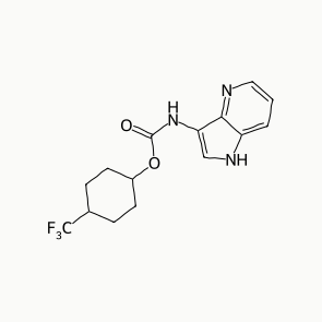 O=C(Nc1c[nH]c2cccnc12)OC1CCC(C(F)(F)F)CC1